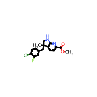 COC(=O)c1ccc2c(n1)NCC2(C)Cc1ccc(Cl)c(F)c1